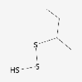 CCC(C)SSS